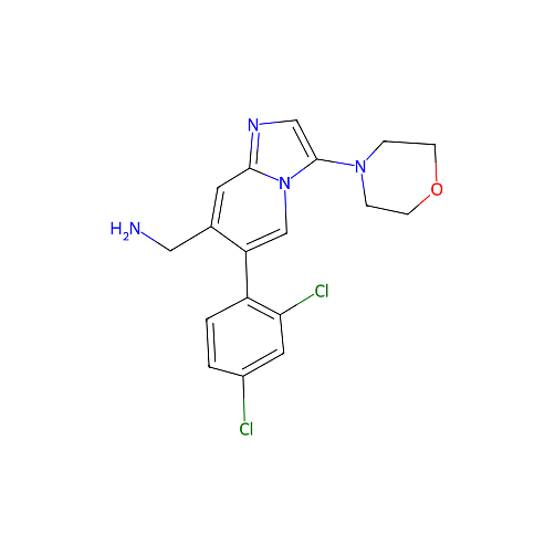 NCc1cc2ncc(N3CCOCC3)n2cc1-c1ccc(Cl)cc1Cl